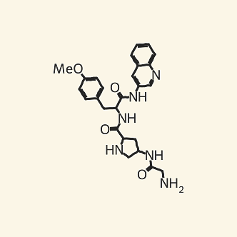 COc1ccc(CC(NC(=O)C2CC(NC(=O)CN)CN2)C(=O)Nc2cnc3ccccc3c2)cc1